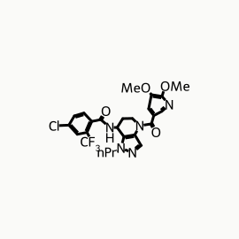 CCCn1ncc2c1C(NC(=O)c1ccc(Cl)cc1C(F)(F)F)CCN2C(=O)c1cnc(OC)c(OC)c1